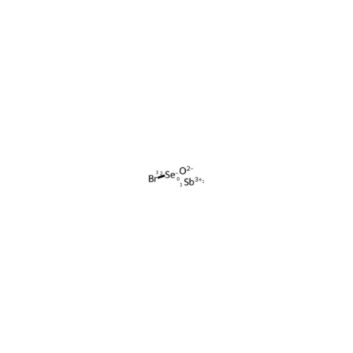 [O-2].[Sb+3].[Se-]Br